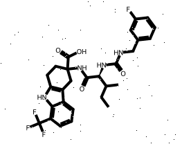 CCC(C)[C@H](NC(=O)NCc1cccc(F)c1)C(=O)NC1(C(=O)O)CCc2[nH]c3c(C(F)(F)F)cccc3c2C1